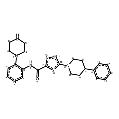 O=C(Nc1cnccc1N1CCNCC1)c1nnc(N2CCC(c3ccccc3)CC2)s1